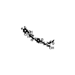 CC(=O)OCCN(CCO)CCNC(=O)c1ccc(CNC(=O)c2cc(NC(=O)c3cc(F)c(F)cc3Cl)[nH]n2)cc1